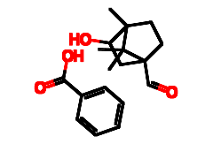 CC12CCC(C=O)(CC1O)C2(C)C.O=C(O)c1ccccc1